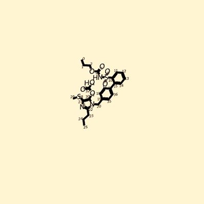 CCCOC(=O)NS(=O)(=O)c1ccccc1-c1ccc(Cn2c(CCC)nc(SC)c2OC(=O)O)cc1